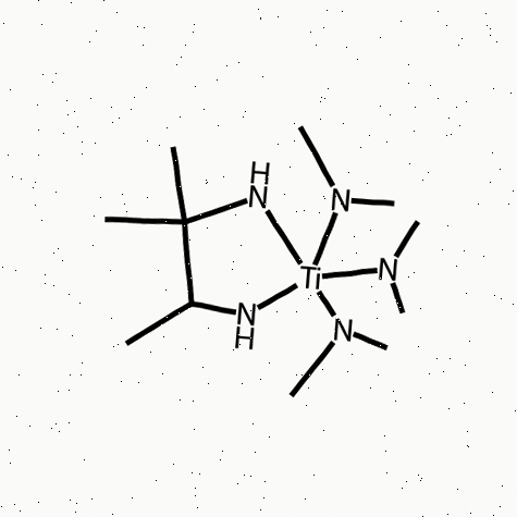 CC1[NH][Ti]([N](C)C)([N](C)C)([N](C)C)[NH]C1(C)C